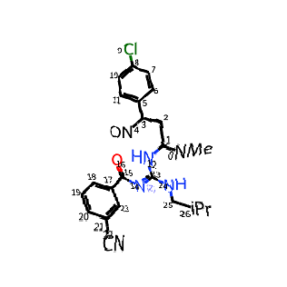 CNC(CC(N=O)c1ccc(Cl)cc1)N/C(=N\C(=O)c1cccc(C#N)c1)NCC(C)C